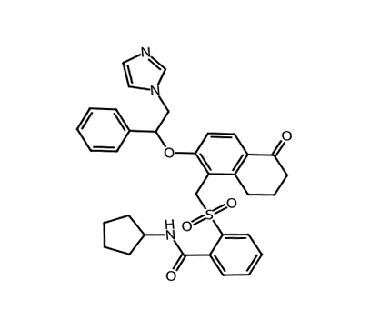 O=C(NC1CCCC1)c1ccccc1S(=O)(=O)Cc1c(OC(Cn2ccnc2)c2ccccc2)ccc2c1CCCC2=O